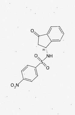 O=C1C[C@@H](NS(=O)(=O)c2ccc([N+](=O)[O-])cc2)c2ccccc21